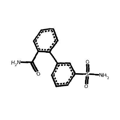 NC(=O)c1ccccc1-c1cccc(S(N)(=O)=O)c1